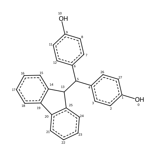 Oc1ccc(C(c2ccc(O)cc2)C2c3ccccc3-c3ccccc32)cc1